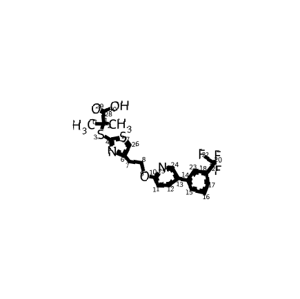 CC(C)(Sc1nc(CCOc2ccc(-c3cccc(C(F)(F)F)c3)cn2)cs1)C(=O)O